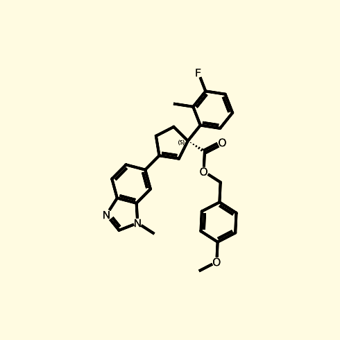 COc1ccc(COC(=O)[C@]2(c3cccc(F)c3C)C=C(c3ccc4ncn(C)c4c3)CC2)cc1